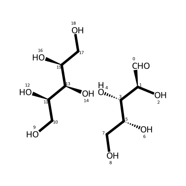 O=C[C@@H](O)[C@@H](O)[C@H](O)CO.OC[C@@H](O)[C@H](O)[C@@H](O)CO